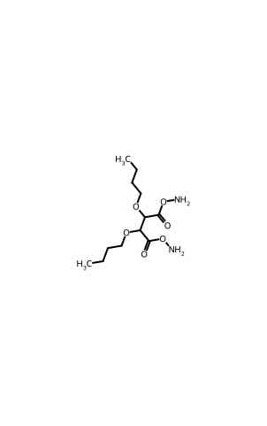 CCCCOC(C(=O)ON)C(OCCCC)C(=O)ON